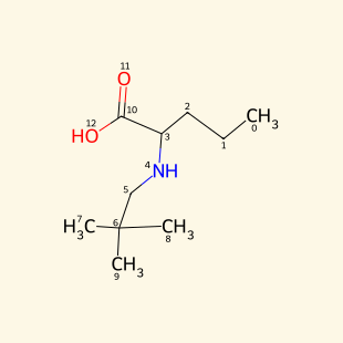 CCCC(NCC(C)(C)C)C(=O)O